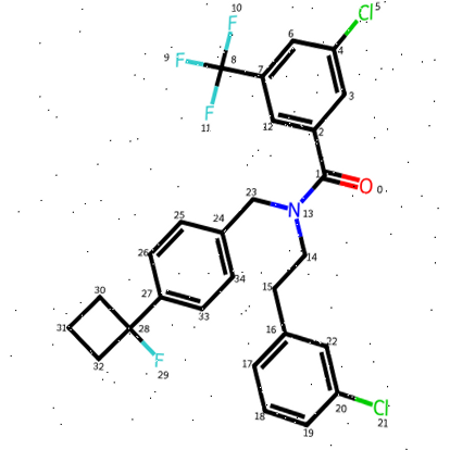 O=C(c1cc(Cl)cc(C(F)(F)F)c1)N(CCc1cccc(Cl)c1)Cc1ccc(C2(F)CCC2)cc1